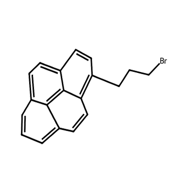 BrCCCc1ccc2ccc3cccc4ccc1c2c34